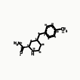 NC(=O)[C@H]1CC(Cc2ccc(C(F)(F)F)cc2)CCN1